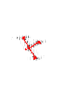 CC(=O)N[C@H]1[C@H](OCCCCC(=O)NCCCNC(=O)CCOCC(COCCC(=O)NCCCNC(=O)CCCCO[C@@H]2O[C@H](CO)[C@H](O)[C@H](O)[C@H]2NC(C)=O)(COCCC(=O)NCCCNC(=O)CCCCO[C@@H]2O[C@H](CO)[C@H](O)[C@H](O)[C@H]2NC(C)=O)NC(=O)OCc2ccccc2)O[C@H](CO)[C@H](O)[C@@H]1O